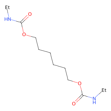 CCNC(=O)OCCCCCCOC(=O)NCC